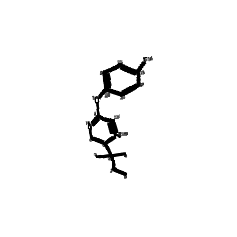 CCC(C)(C)c1cnc(Oc2ccc(F)cc2)cn1